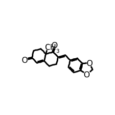 CC12CCC(=O)C=C1CCC(=Cc1ccc3c(c1)OCO3)C2=O